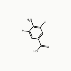 Nc1c(Cl)cc(C(=O)O)cc1I